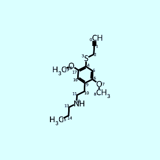 C#CCSc1cc(OC)c(CCNCCC)cc1OC